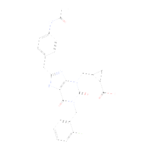 CC(=O)Nc1ccc(Cc2nc3c([nH]2)c(=O)n(Cc2ccccc2F)c(=O)n3CC2CC2C(=O)O)cc1